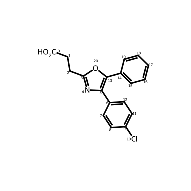 O=C(O)CCc1nc(-c2ccc(Cl)cc2)c(-c2ccccc2)o1